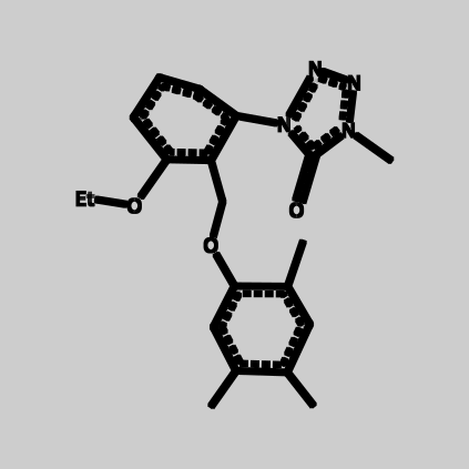 CCOc1cccc(-n2nnn(C)c2=O)c1COc1cc(C)c(C)cc1C